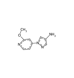 COc1cc(-n2cc(N)cn2)ccn1